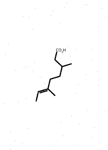 C/C=C(\C)CCC(C)CC(=O)O